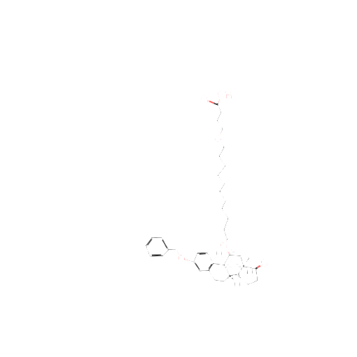 C[C@]12C[C@H](OCCCCCCCCCCCOCCCC(=O)O)[C@@H]3c4ccc(OCc5ccccc5)cc4CC[C@H]3[C@@H]1CCC2=O